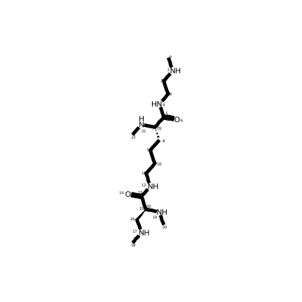 CNCCNC(=O)[C@H](CCCCNC(=O)[C@H](CNC)NC)NC